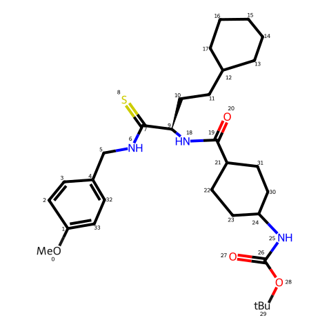 COc1ccc(CNC(=S)[C@@H](CCC2CCCCC2)NC(=O)C2CCC(NC(=O)OC(C)(C)C)CC2)cc1